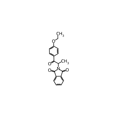 CCOc1ccc(C(=O)C(C)N2C(=O)c3ccccc3C2=O)cc1